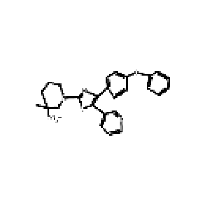 CC1(C(=O)O)CCCN(c2nc(-c3ccc(Oc4ccccc4)cc3)c(-c3cccnc3)s2)C1